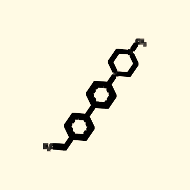 C=Cc1ccc(-c2ccc(N3CCN(C)CC3)cc2)cc1